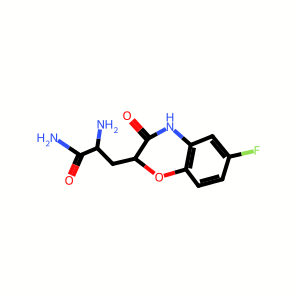 NC(=O)C(N)CC1Oc2ccc(F)cc2NC1=O